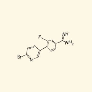 N=C(N)c1ccc(-c2ccc(Br)nc2)c(F)c1